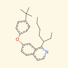 CCCCC(CC)c1nccc2ccc(Oc3ccc(C(C)(C)C)cc3)cc12